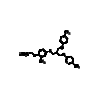 CCOC(=O)COc1ccc(SCC(COc2ccc(C(F)(F)F)cc2)COc2ccc(C(F)(F)F)cc2)cc1C